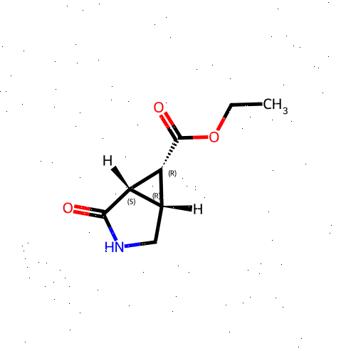 CCOC(=O)[C@@H]1[C@@H]2CNC(=O)[C@@H]21